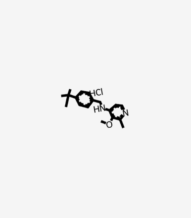 COc1c(NCc2ccc(C(C)(C)C)cc2)ccnc1C.Cl